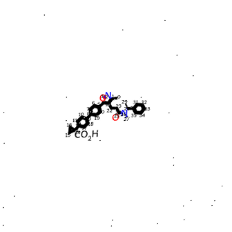 Cc1noc(-c2ccc(-c3ccc(C4(C(=O)O)CC4)cc3)cc2)c1CCC(=O)N(C)[C@@H](C)c1ccccc1